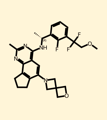 COCC(F)(F)c1cccc([C@@H](C)Nc2nc(C)nc3c4c(c(N5CC6(COC6)C5)cc23)CCC4)c1F